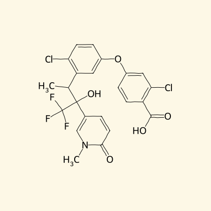 CC(c1cc(Oc2ccc(C(=O)O)c(Cl)c2)ccc1Cl)C(O)(c1ccc(=O)n(C)c1)C(F)(F)F